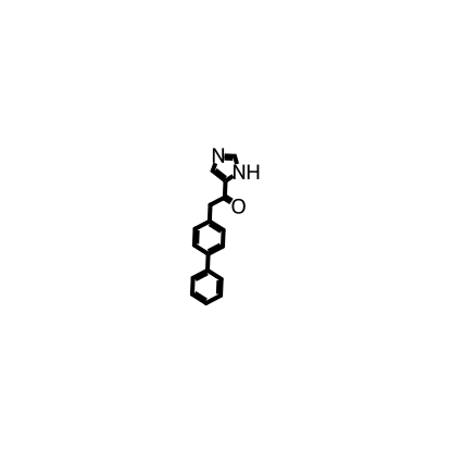 O=C(Cc1ccc(-c2ccccc2)cc1)c1cnc[nH]1